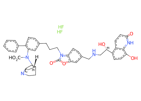 F.F.O=C(O)N(c1cc(CCCn2c(=O)oc3cc(CNC[C@H](O)c4ccc(O)c5[nH]c(=O)ccc45)ccc32)ccc1-c1ccccc1)[C@H]1CN2CCC1CC2